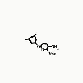 CNc1nc(Oc2cc(C)cc(C)c2)ccc1N